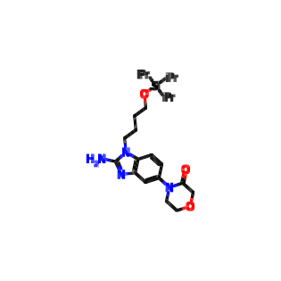 CC(C)[Si](OCCCCn1c(N)nc2cc(N3CCOCC3=O)ccc21)(C(C)C)C(C)C